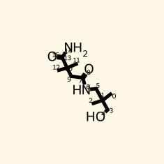 CC(C)(CO)CNC(=O)CC(C)(C)C(N)=O